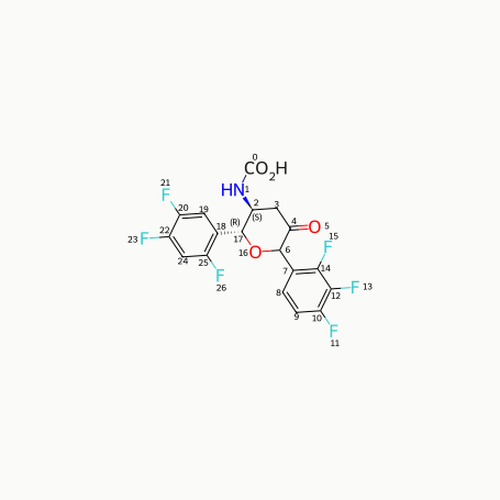 O=C(O)N[C@H]1CC(=O)C(c2ccc(F)c(F)c2F)O[C@@H]1c1cc(F)c(F)cc1F